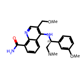 CNC[C@@H](Nc1c(COC)cnc2c(C(N)=O)cccc12)c1cccc(OC)c1